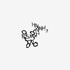 CN1/C(=C\C2=CC(=Cc3sc4ccccc4[n+]3C)c3ccccc3N2c2ccccc2)C(C)(C)c2cc(CNC(=N)N)ccc21